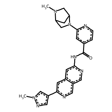 CN1CC2CC1CN2c1cc(C(=O)Nc2cc3cc(-c4cnn(C)c4)ncc3cn2)ccn1